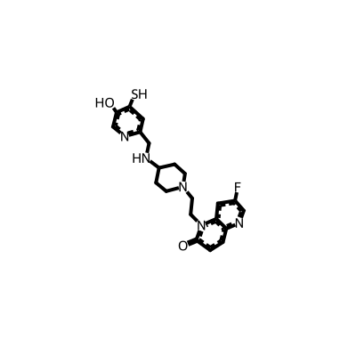 O=c1ccc2ncc(F)cc2n1CCN1CCC(NCc2cc(S)c(O)cn2)CC1